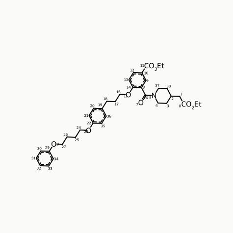 CCOC(=O)CC1CCN(C(=O)c2cc(C(=O)OCC)ccc2OCCCc2ccc(OCCCCOc3ccccc3)cc2)CC1